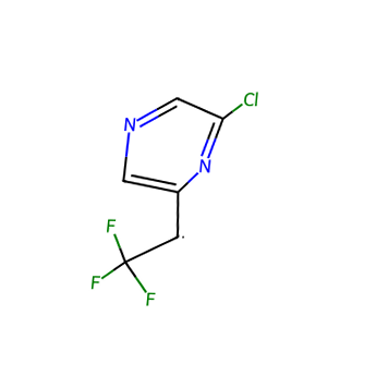 FC(F)(F)[CH]c1cncc(Cl)n1